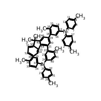 Cc1ccc(N(c2ccc(C)cc2)c2ccc(C)c(-c3cc(-c4cc(N(c5ccc(C)cc5)c5ccc(C)cc5)ccc4C)c4c(c3)C(C)(C)c3ccccc3-4)c2)cc1